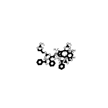 CC(=O)O[C@H]1C(=O)[C@@]2(C)[C@H]([C@H](OC(=O)c3ccccc3)[C@]3(O)C[C@H](OC(=O)[C@H](OC(=O)OCC4COC(C)O4)[C@@H](NC(=O)c4ccccc4)c4ccccc4)C(C)=C1C3(C)C)[C@]1(OC(C)=O)CO[C@@H]1C[C@@H]2O